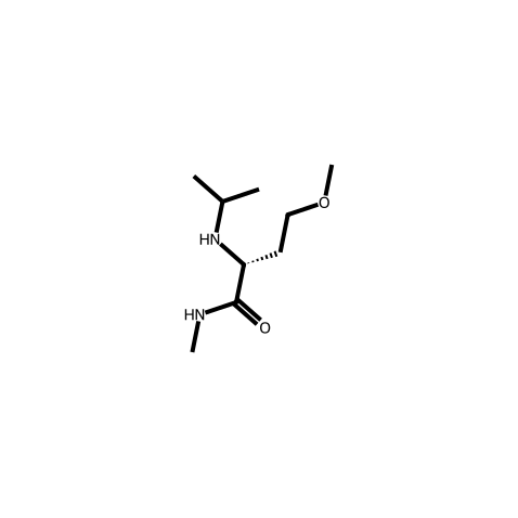 CNC(=O)[C@@H](CCOC)NC(C)C